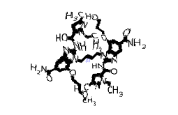 CCn1nc(C)cc1C(=O)Nc1nc2cc(C(N)=O)cc(OCCCO)c2n1C/C=C/Cn1c(NC(O)c2cc(C)nn2CC)nc2cc(C(N)=O)cc(OCCCOC)c21